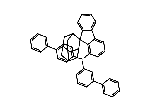 c1ccc(-c2ccc(N(c3cccc(-c4ccccc4)c3)c3cccc4c3C3(c5ccccc5-4)C4CC5CC(C4)CC3C5)cc2)cc1